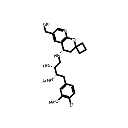 COc1cc(C[C@H](NC(C)=O)[C@H](O)CN[C@H]2CC3(CCC3)Oc3ncc(CC(C)(C)C)cc32)ccc1Cl